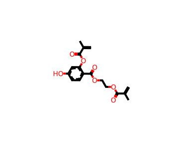 C=C(C)C(=O)OCCOC(=O)c1ccc(O)cc1OC(=O)C(=C)C